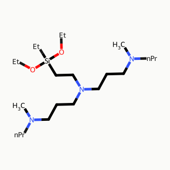 CCCN(C)CCCN(CCCN(C)CCC)CC[Si](CC)(OCC)OCC